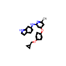 N#Cc1cc(Oc2ccc(OCC3CC3)cc2)cc(Nc2ccc3cc[nH]c3c2)n1